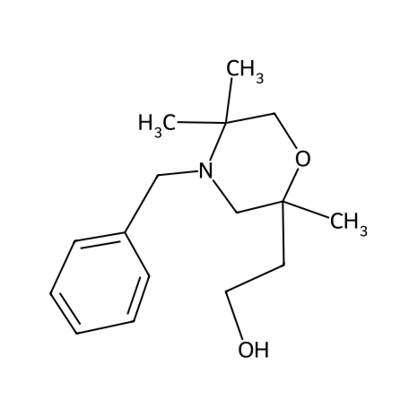 CC1(CCO)CN(Cc2ccccc2)C(C)(C)CO1